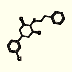 O=C1CC(c2cccc(Cl)c2)CC(=O)C1SCCc1ccccc1